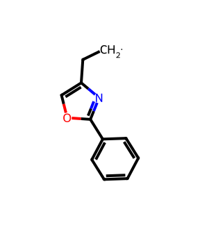 [CH2]Cc1coc(-c2ccccc2)n1